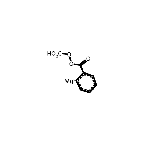 O=C(O)OOC(=O)c1ccccc1.[MgH2]